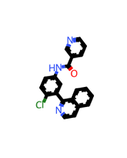 O=C(Nc1ccc(Cl)c(-c2nccc3ccccc23)c1)c1cccnc1